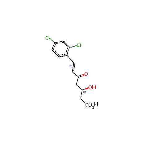 O=C(O)C[C@H](O)CC(=O)/C=C/c1ccc(Cl)cc1Cl